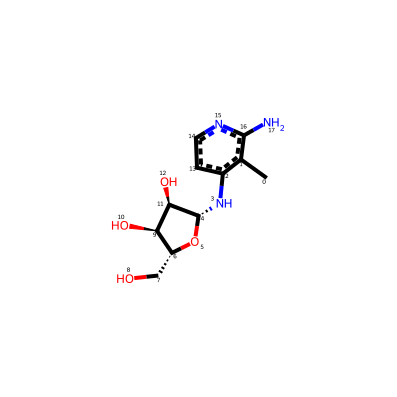 Cc1c(N[C@@H]2O[C@H](CO)[C@@H](O)[C@H]2O)ccnc1N